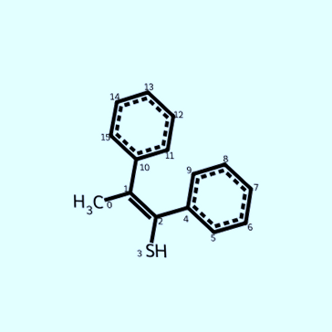 CC(=C(S)c1ccccc1)c1ccccc1